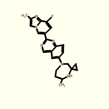 Cc1cn2cc(-c3ncc4cc(N5CCC(C)NC6(CC6)C5)ccc4n3)cc(F)c2n1